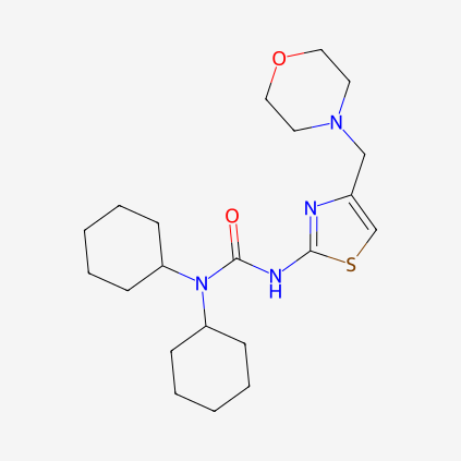 O=C(Nc1nc(CN2CCOCC2)cs1)N(C1CCCCC1)C1CCCCC1